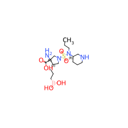 CCCN([C@@H]1CCCNC1)S(=O)(=O)N1C[C@H](CCCB(O)O)[C@](N)(C(=O)O)C1